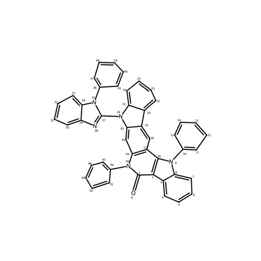 O=c1c2c3ccccc3n(-c3ccccc3)c2c2cc3c4ccccc4n(-c4nc5ccccc5n4-c4ccccc4)c3cc2n1-c1ccccc1